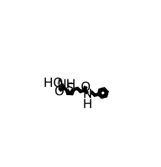 O=C(CCc1ccc(C(=O)NO)s1)NCCc1ccccc1